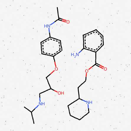 CC(=O)Nc1ccc(OCC(O)CNC(C)C)cc1.Nc1ccccc1C(=O)OCCC1CCCCN1